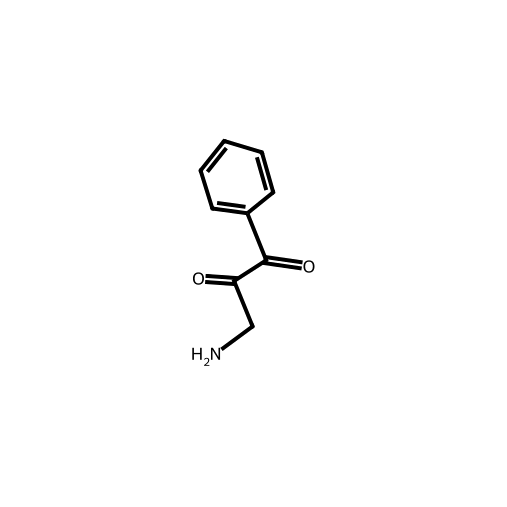 NCC(=O)C(=O)c1ccccc1